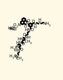 Cc1c(NC(=O)CCCNC(=O)c2cc(C(=O)NCCNCCN)cc(N3C(=O)c4cccc5cc([N+](=O)[O-])cc(c45)C3=O)c2)c[nH]c1C(=O)Nc1cc(C(=O)NCCCN(C)C)n(C)c1.Cl.Cl.Cl